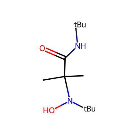 CC(C)(C)NC(=O)C(C)(C)N(O)C(C)(C)C